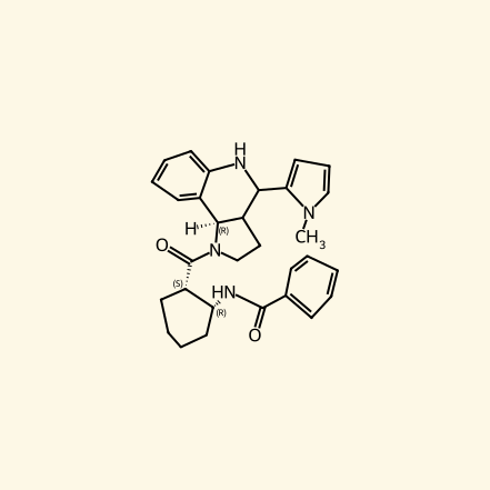 Cn1cccc1C1Nc2ccccc2[C@H]2C1CCN2C(=O)[C@H]1CCCC[C@H]1NC(=O)c1ccccc1